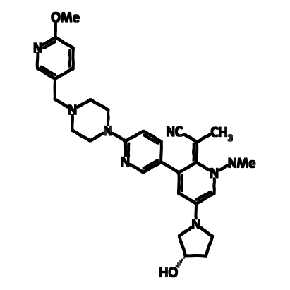 CNN1C=C(N2CC[C@H](O)C2)C=C(c2ccc(N3CCN(Cc4ccc(OC)nc4)CC3)nc2)/C1=C(/C)C#N